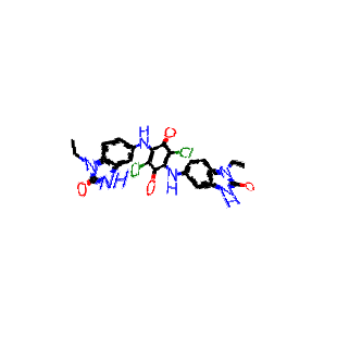 CCn1c(=O)[nH]c2cc(NC3=C(Cl)C(=O)C(Nc4ccc5c(c4)[nH]c(=O)n5CC)=C(Cl)C3=O)ccc21